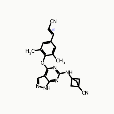 Cc1cc(/C=C/C#N)cc(C)c1Oc1nc(NC23CC(C#N)(C2)C3)nc2[nH]ncc12